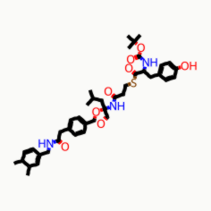 CC(C)CC(C=O)(NC(=O)CCSC(=O)C(Cc1ccc(O)cc1)NC(=O)OC(C)(C)C)OCc1ccc(CC(=O)NCC2=CC(C)C(C)C=C2)cc1